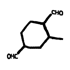 CC1CC(C=O)CCC1C=O